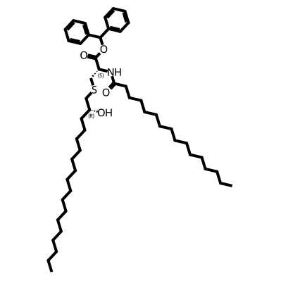 CCCCCCCCCCCCCCCC[C@@H](O)CSC[C@@H](NC(=O)CCCCCCCCCCCCCCC)C(=O)OC(c1ccccc1)c1ccccc1